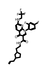 C=CCC1CCC(CCNC(=O)c2cn(-c3ccc(F)cc3F)c3nc(NCC(F)(F)F)ccc3c2=O)C1